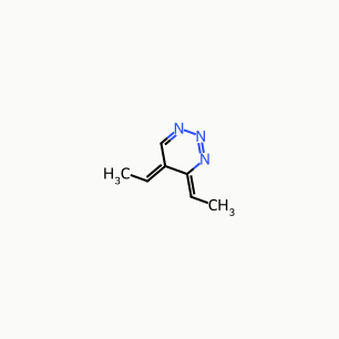 CC=c1cnnnc1=CC